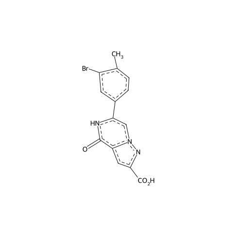 Cc1ccc(-c2cn3nc(C(=O)O)cc3c(=O)[nH]2)cc1Br